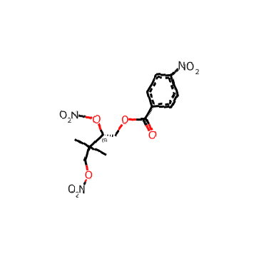 CC(C)(CO[N+](=O)[O-])[C@@H](COC(=O)c1ccc([N+](=O)[O-])cc1)O[N+](=O)[O-]